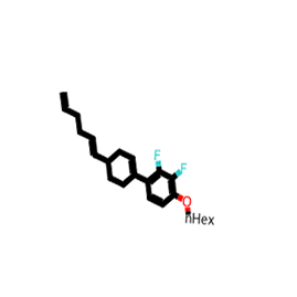 C=CCC/C=C/C1CC=C(c2ccc(OCCCCCC)c(F)c2F)CC1